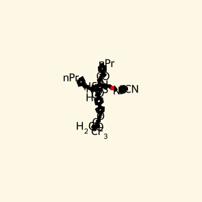 C=C(C(=O)OCCOC1CCC(C2CCC(C(=O)OC3=c4nc(N/N=C/c5ccc(CCC)cc5)sc4=C(CCOC(=O)c4ccc(CCC)cc4)C4N=C(/C=C/C=N/c5ccc(C#N)cc5)SC34)CC2)CC1)C(F)(F)F